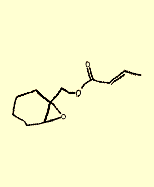 CC=CC(=O)OCC12CCCCC1O2